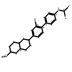 CCCCCCC1CCC2CC(c3ccc(-c4ccc(OC(F)F)cc4)c(F)c3)CCC2C1